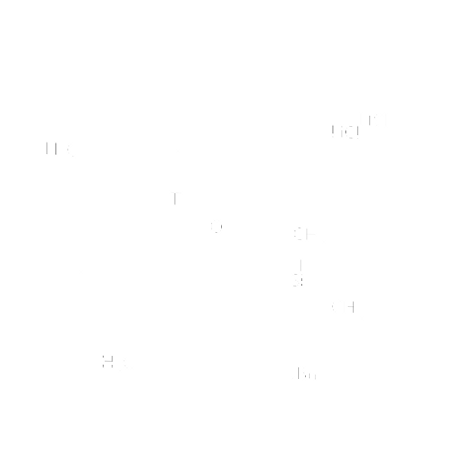 CC1=[C]([Ti]([O]c2cc(C)cc(C(C)(C)C)c2[SiH](C)C)=[C](c2ccccc2)c2ccccc2)CC=C1.Cl.Cl